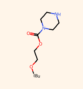 CC(C)(C)OCCOC(=O)N1CCNCC1